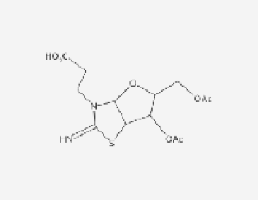 CC(=O)OCC1OC2C(SC(=N)N2CCC(=O)O)C1OC(C)=O